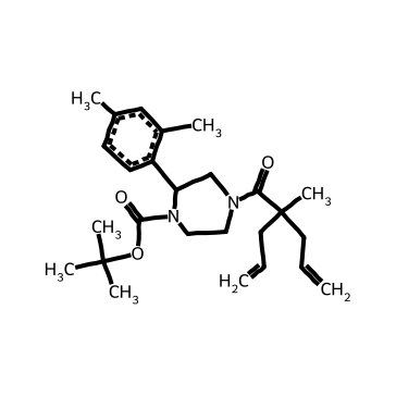 C=CCC(C)(CC=C)C(=O)N1CCN(C(=O)OC(C)(C)C)C(c2ccc(C)cc2C)C1